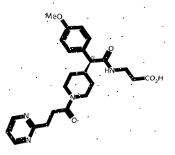 COc1ccc([C@@H](C(=O)NCCC(=O)O)C2CCN(C(=O)CCc3ncccn3)CC2)cc1